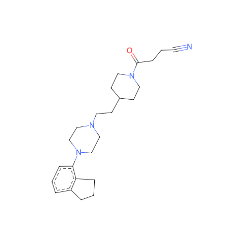 N#CCCC(=O)N1CCC(CCN2CCN(c3cccc4c3CCC4)CC2)CC1